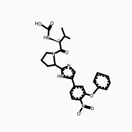 CC(C)[C@H](NC(=O)O)C(=O)N1CCCC1c1ncc(-c2ccc([N+](=O)[O-])c(Oc3ccccc3)c2)[nH]1